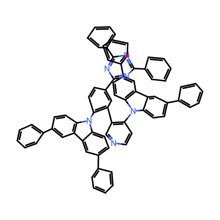 c1ccc(-c2ccc3c(c2)c2cc(-c4ccccc4)ccc2n3-c2ccncc2-c2cc(-c3nc(-c4ccccc4)nc(-c4ccccc4)n3)ccc2-n2c3ccc(-c4ccccc4)cc3c3cc(-c4ccccc4)ccc32)cc1